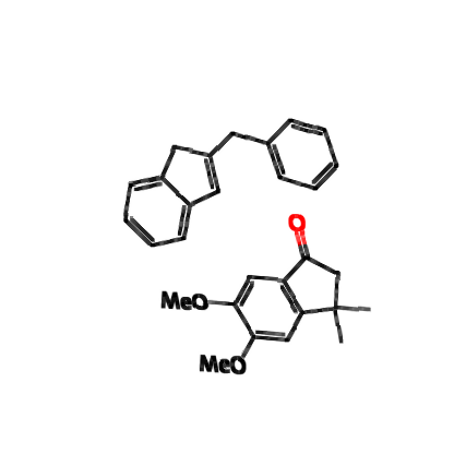 C1=C(Cc2ccccc2)Cc2ccccc21.COc1cc2c(cc1OC)C(C)(C)CC2=O